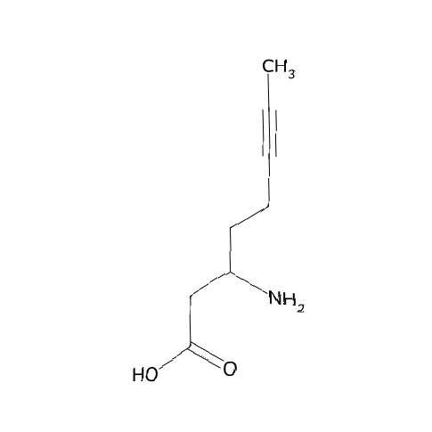 CC#CCCC(N)CC(=O)O